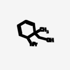 CCCC1C=CC=CC1(C)CO